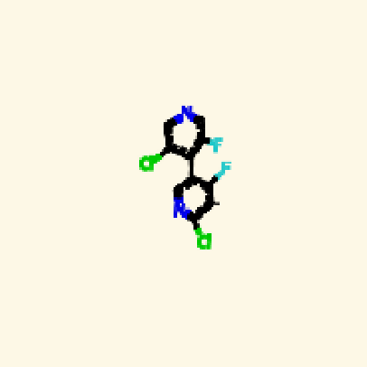 Fc1[c]c(Cl)ncc1-c1c(F)cncc1Cl